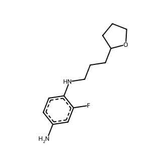 Nc1ccc(NCCCC2CCCO2)c(F)c1